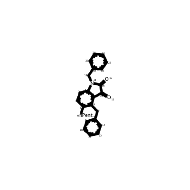 CCCCCc1ccc2c(c1Cc1ccccc1)C(=O)C(=O)N2Cc1ccccc1